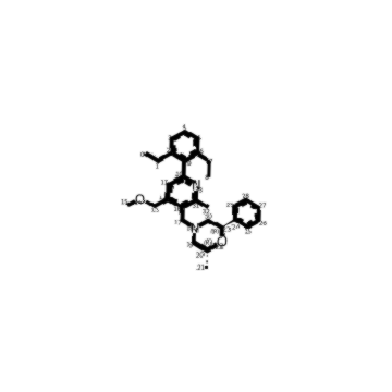 CCc1cccc(CC)c1-c1cc(COC)c(CN2C[C@@H](C)O[C@H](c3ccccc3)C2)c(C)n1